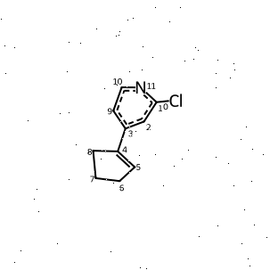 Clc1cc(C2=CCCC2)ccn1